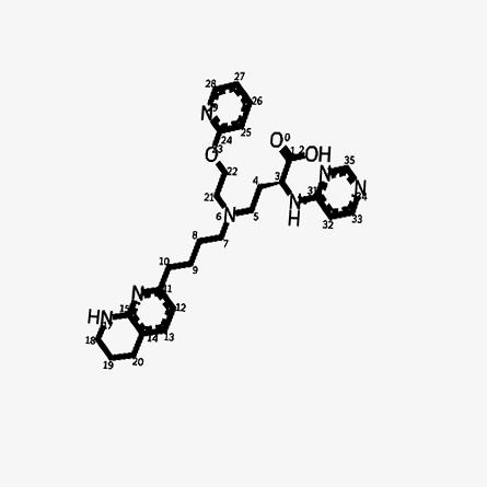 O=C(O)[C@H](CCN(CCCCc1ccc2c(n1)NCCC2)CCOc1ccccn1)Nc1ccncn1